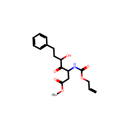 C=CCOC(=O)NC(CC(=O)OC(C)(C)C)C(=O)C(O)CCc1ccccc1